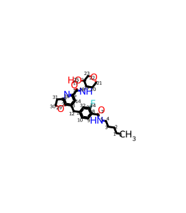 CCCCCNC(=O)c1ccc(Cc2cc(C(=O)N[C@H]3CCOC[C@@H]3O)nc3c2OCC3)cc1F